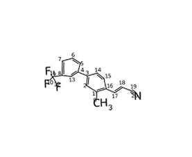 Cc1cc(-c2cccc(C(F)(F)F)c2)ccc1C=CC#N